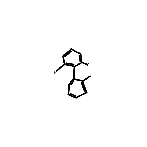 Fc1[c]ccc(Cl)c1-c1ccccc1F